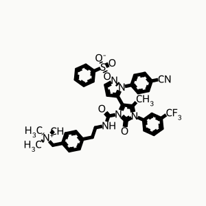 Cc1c(-c2ccnn2-c2ccc(C#N)cc2)n(C(=O)NCCc2ccc(C[N+](C)(C)C)cc2)c(=O)n1-c1cccc(C(F)(F)F)c1.O=S(=O)([O-])c1ccccc1